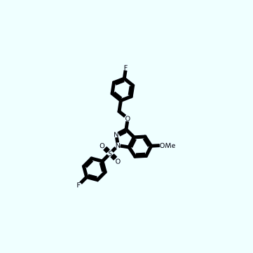 COc1ccc2c(c1)c(OCc1ccc(F)cc1)nn2S(=O)(=O)c1ccc(F)cc1